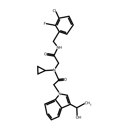 CC(O)c1cn(CC(=O)N(CC(=O)NCc2cccc(Cl)c2F)C2CC2)c2ccccc12